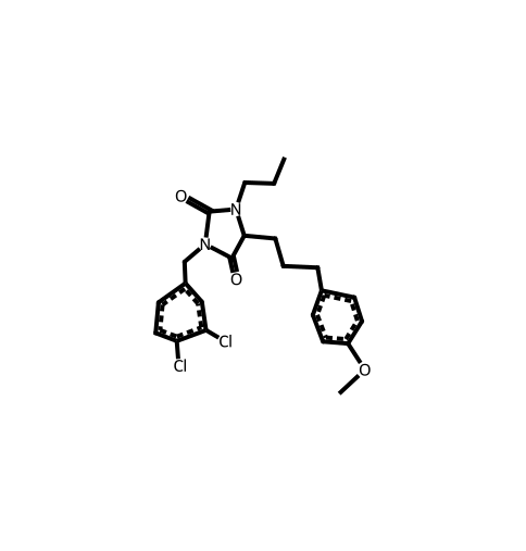 CCCN1C(=O)N(Cc2ccc(Cl)c(Cl)c2)C(=O)C1CCCc1ccc(OC)cc1